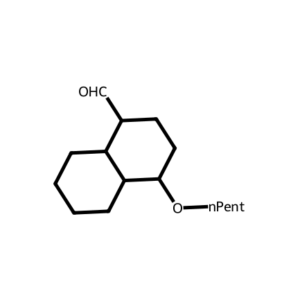 CCCCCOC1CCC(C=O)C2CCCCC12